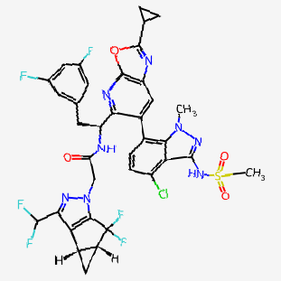 Cn1nc(NS(C)(=O)=O)c2c(Cl)ccc(-c3cc4nc(C5CC5)oc4nc3[C@H](Cc3cc(F)cc(F)c3)NC(=O)Cn3nc(C(F)F)c4c3C(F)(F)[C@@H]3C[C@H]43)c21